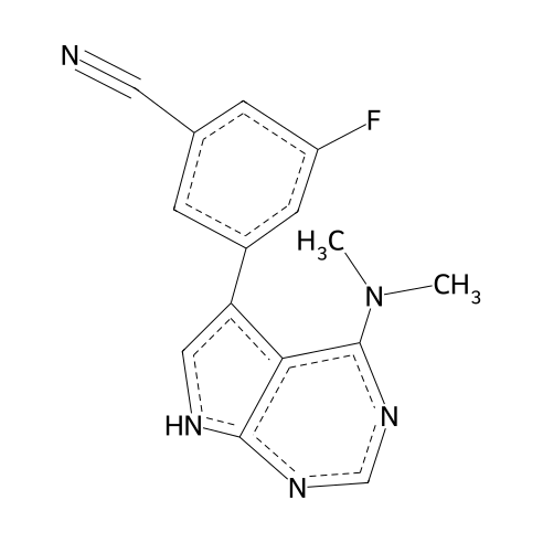 CN(C)c1ncnc2[nH]cc(-c3cc(F)cc(C#N)c3)c12